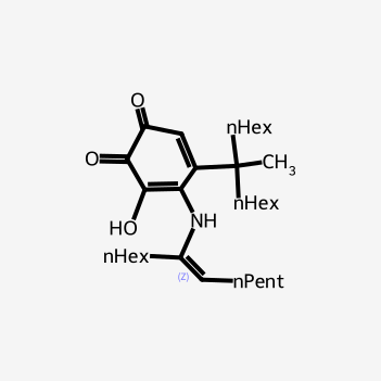 CCCCC/C=C(/CCCCCC)NC1=C(O)C(=O)C(=O)C=C1C(C)(CCCCCC)CCCCCC